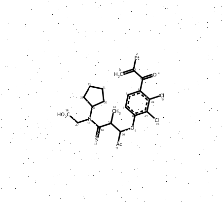 C=C(CC)C(=O)c1ccc(OC(C(C)=O)C(C)C(=S)N(CC(=O)O)C2CCCC2)c(Cl)c1Cl